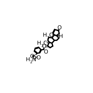 C[C@]12CCC3C(CC[C@H]4CC(=O)C=C[C@]34C)C1CC[C@@H]2OC(=O)c1cccc(S(N)(=O)=O)c1